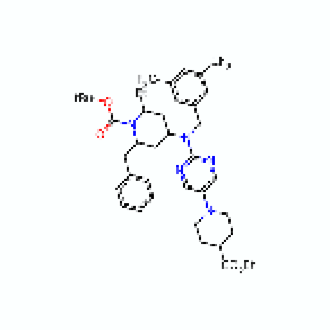 CCOC(=O)C1CCN(c2cnc(N(Cc3cc(C(F)(F)F)cc(C(F)(F)F)c3)C3CC(CC)N(C(=O)OC(C)(C)C)C(Cc4ccccc4)C3)nc2)CC1